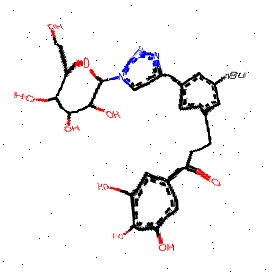 CCCCc1cc(CCC(=O)c2cc(O)c(O)c(O)c2)cc(-c2cn(C3OC(CO)C(O)C(O)C3O)nn2)c1